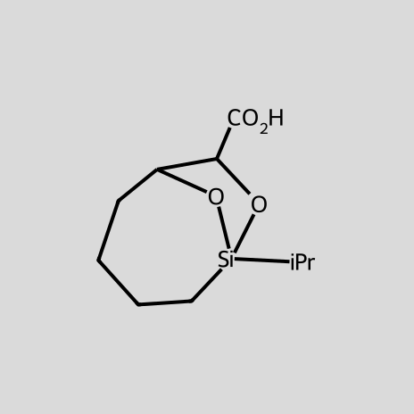 CC(C)[Si]12CCCCC(O1)C(C(=O)O)O2